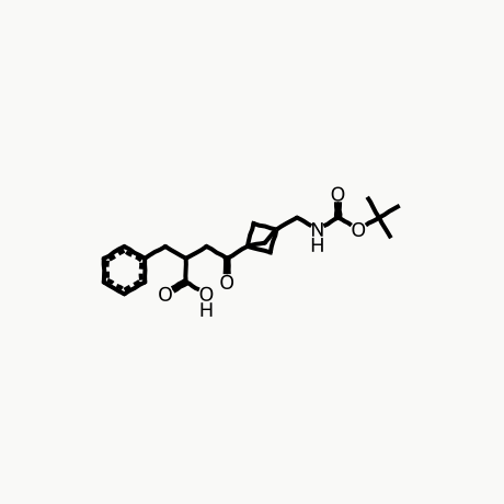 CC(C)(C)OC(=O)NCC12CC(C(=O)CC(Cc3ccccc3)C(=O)O)(C1)C2